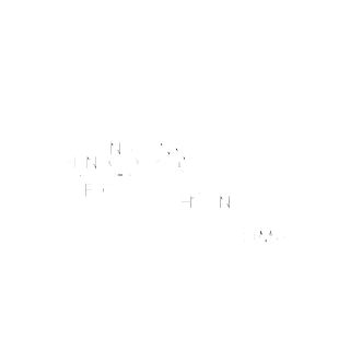 COCCN1CC2[C@H](C1)[C@H]2c1cc(-c2cnc(N)c(C(F)(F)F)c2)nn1CC1CCC1